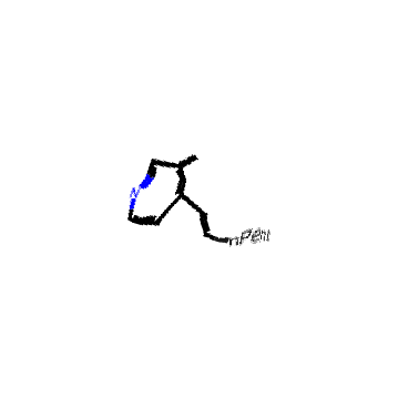 CCCCC/C=C/c1ccncc1C